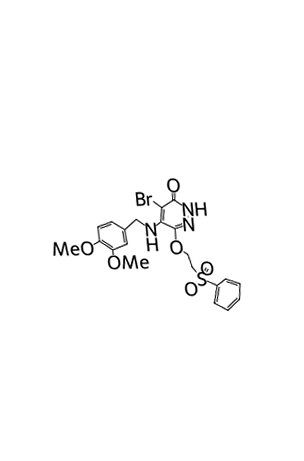 COc1ccc(CNc2c(OCCS(=O)(=O)c3ccccc3)n[nH]c(=O)c2Br)cc1OC